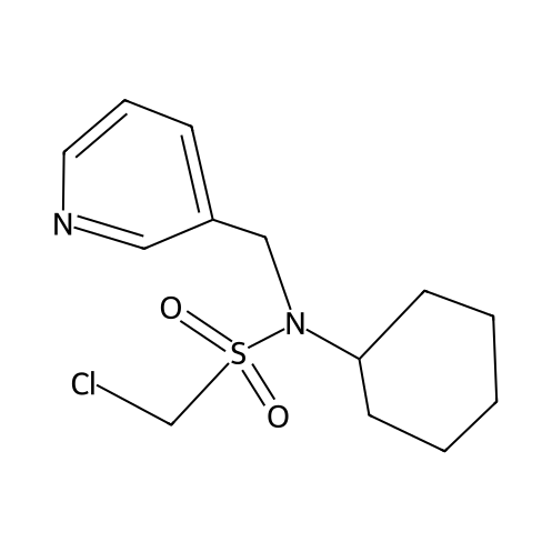 O=S(=O)(CCl)N(Cc1cccnc1)C1CCCCC1